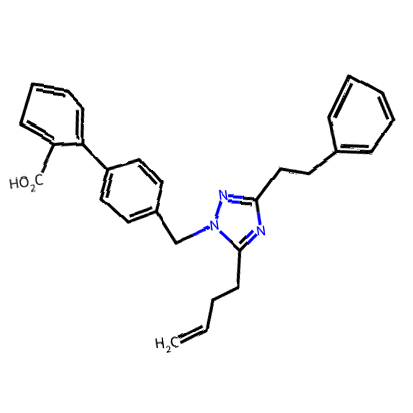 C=CCCc1nc(CCc2ccccc2)nn1Cc1ccc(-c2ccccc2C(=O)O)cc1